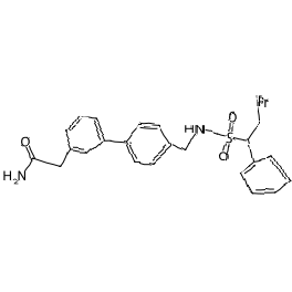 CC(C)CC(c1ccccc1)S(=O)(=O)NCc1ccc(-c2cccc(CC(N)=O)c2)cc1